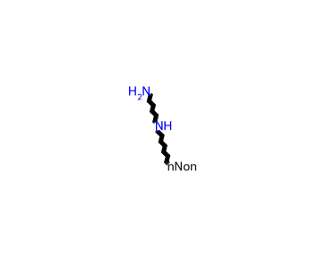 CCCCCCCCCCCCCCCCNCCCCCCN